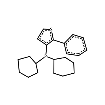 c1ccc(-c2sccc2P(C2CCCCC2)C2CCCCC2)cc1